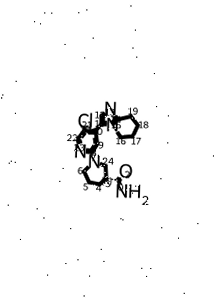 NC(=O)[C@@H]1CCCN(c2cc(-c3cnc4n3CCCC4)c(Cl)cn2)C1